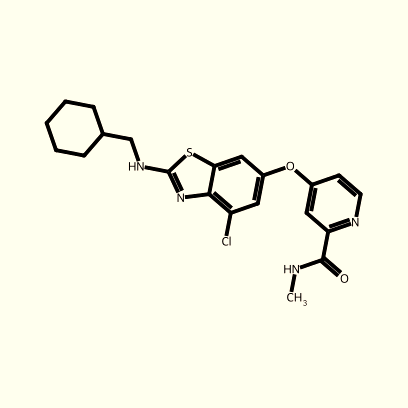 CNC(=O)c1cc(Oc2cc(Cl)c3nc(NCC4CCCCC4)sc3c2)ccn1